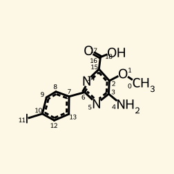 COc1c(N)nc(-c2ccc(I)cc2)nc1C(=O)O